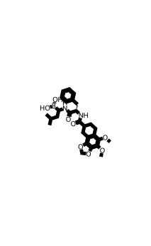 COc1c2c(c3c(c1OC)OCO3)CC(C(=O)N[C@@H](Cc1ccccc1)C(=O)NC(CC(C)C)B(O)O)CC2